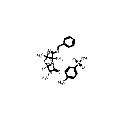 C[C@@H]1C(=S)N2[C@@H]1SC(C)(C)[C@]2(N)C(=O)OCc1ccccc1.Cc1ccc(S(=O)(=O)O)cc1